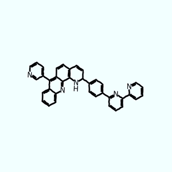 C1=CC(c2ccc(-c3cccc(-c4ccccn4)n3)cc2)Nc2c1ccc1c(-c3cccnc3)c3ccccc3nc21